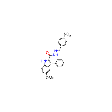 COc1ccc2[nH]c(C(=O)NN=Cc3ccc([N+](=O)[O-])cc3)c(-c3ccccc3)c2c1